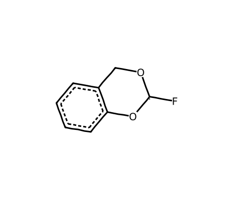 F[C]1OCc2ccccc2O1